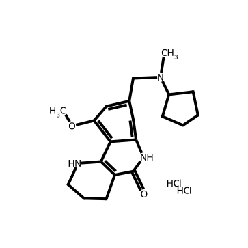 COc1cc(CN(C)C2CCCC2)cc2[nH]c(=O)c3c(c12)NCCC3.Cl.Cl